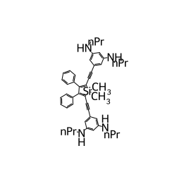 CCCNc1cc(C#CC2=C(c3ccccc3)C(c3ccccc3)=C(C#Cc3cc(NCCC)cc(NCCC)c3)[Si]2(C)C)cc(NCCC)c1